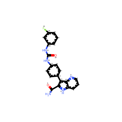 NC(=O)c1[nH]c2cccnc2c1-c1ccc(NC(=O)Nc2cccc(F)c2)cc1